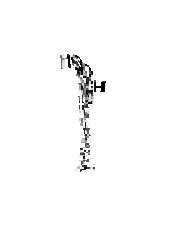 CC(C)CCCCCCCCCCCCCCCC(CCCC(=O)O)C(=O)O